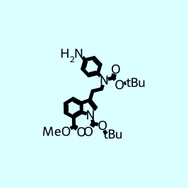 COC(=O)c1cccc2c(CCN(C(=O)OC(C)(C)C)c3ccc(N)cc3)cn(C(=O)OC(C)(C)C)c12